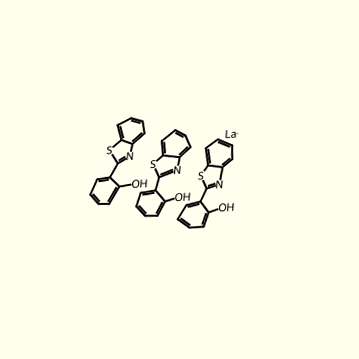 Oc1ccccc1-c1nc2ccccc2s1.Oc1ccccc1-c1nc2ccccc2s1.Oc1ccccc1-c1nc2ccccc2s1.[La]